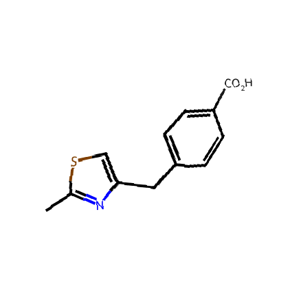 Cc1nc(Cc2ccc(C(=O)O)cc2)cs1